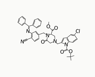 COC(=O)C1CN(Cc2cc3cc(Cl)ccc3n2C(=O)OC(C)(C)C)CC(=O)N1Cc1ccc(C#N)c(N=C(c2ccccc2)c2ccccc2)c1